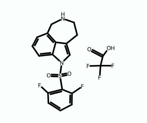 O=C(O)C(F)(F)F.O=S(=O)(c1c(F)cccc1F)n1cc2c3c(cccc31)CNCC2